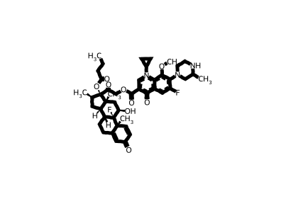 CCCC(=O)O[C@@]1(C(=O)COC(=O)c2cn(C3CC3)c3c(OC)c(N4CCNC(C)C4)c(F)cc3c2=O)[C@H](C)C[C@@H]2[C@H]3CCC4=CC(=O)C=C[C@@]4(C)[C@]3(F)[C@H](O)C[C@]21C